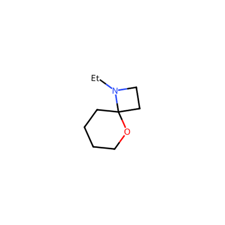 CCN1CCC12CCCCO2